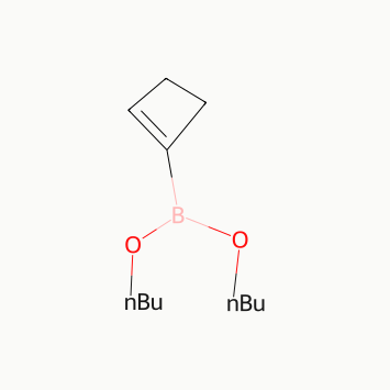 CCCCOB(OCCCC)C1=CCC1